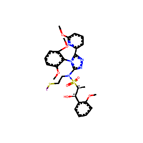 COc1cccc(-c2nnc(N(CCSI)S(=O)(=O)[C@@H](C)[C@H](O)c3ccccc3OC)n2-c2c(OC)cccc2OC)n1